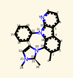 Cc1ccc2c3cccnc3n(-c3ccccc3)c2c1N1C=CN(C)[C@@H]1C